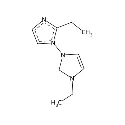 CCc1nccn1N1C=CN(CC)C1